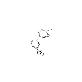 Cc1ccc(-c2cccc(C(F)(F)F)c2)nc1C